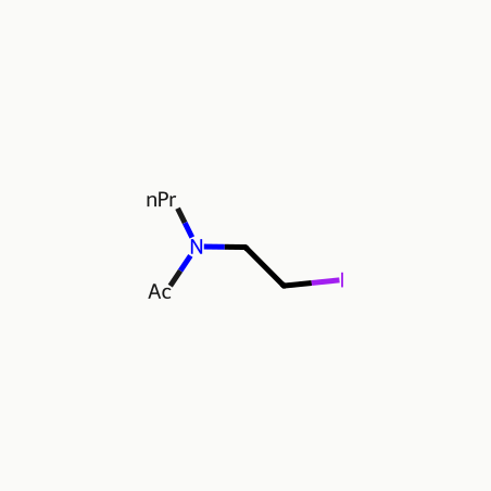 CCCN(CCI)C(C)=O